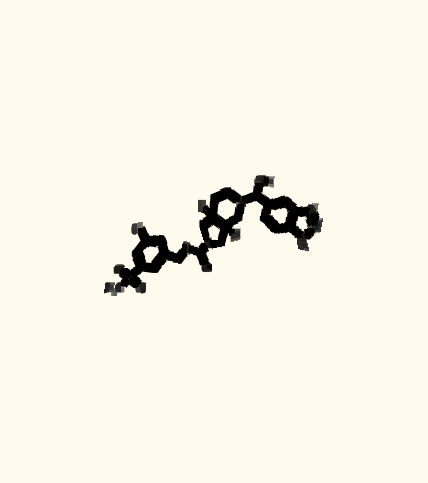 CS(=O)(=O)c1cc(Cl)cc(COC(=O)N2C[C@@H]3CN(C(O)c4ccc5[nH]nnc5c4)CC[C@H]3C2)c1